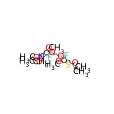 COc1cc2c(c(F)c1OCCCOc1c(OC)cc3sc(C(=O)CC(C)C)cc3c1F)CN(C(=O)OC(C)(C)C)C2